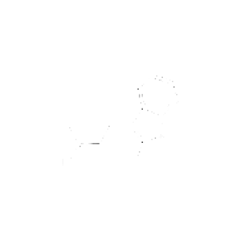 CCN(C)CCc1c(F)[nH]c2ccccc12